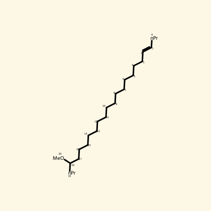 [CH2]CCC=CCCCCCCCCCCCCCCCC(CCC)OC